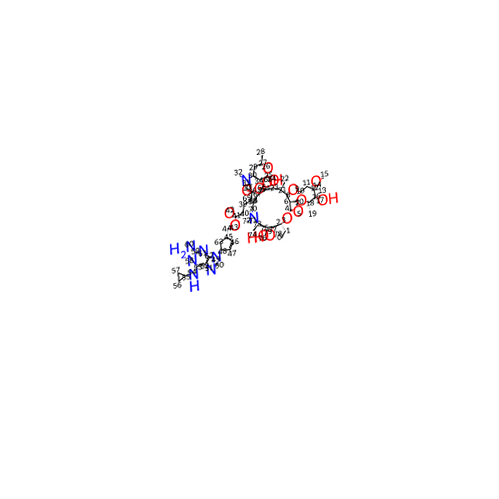 CC[C@H]1OC(=O)[C@H](C)[C@@H](O[C@H]2C[C@@](C)(OC)[C@@H](O)[C@H](C)O2)[C@H](C)[C@@H](O[C@@H]2O[C@H](C)CC(N(C)C)[C@H]2OC(=O)CCCC(=O)OC[C@@H]2C=C[C@H](n3cnc4c(NC5CC5)nc(N)nc43)C2)[C@](C)(O)C[C@@H](C)CN(C)[C@H](C)[C@@H](O)[C@]1(C)O